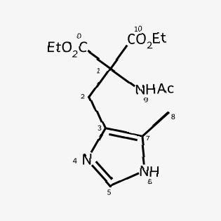 CCOC(=O)C(Cc1nc[nH]c1C)(NC(C)=O)C(=O)OCC